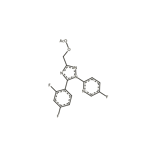 CC(=O)OOCc1nc(-c2ccc(F)cc2F)n(-c2ccc(F)cn2)n1